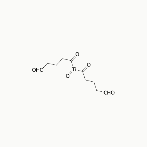 O=CCCC[C](=O)[Ti](=[O])[C](=O)CCCC=O